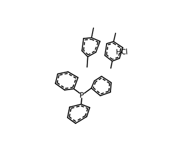 Cc1ccc(C)cc1.Cc1ccc(C)cc1.Cl.c1ccc(P(c2ccccc2)c2ccccc2)cc1